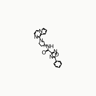 O=C(N[C@H]1CCN(c2nccn3cccc23)C1)c1noc(-c2ccccc2)n1